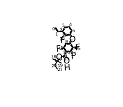 C=Cc1cccc(Oc2c(F)c(F)c(C(O)OC(C)(C)CC)c(F)c2F)c1